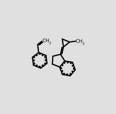 C=Cc1ccccc1.CC1CC1=C1CCc2ccccc21